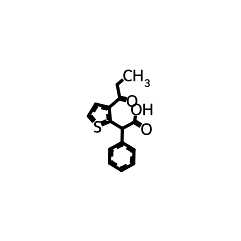 CCC(=O)c1ccsc1C(C(=O)O)c1ccccc1